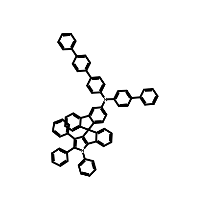 c1ccc(-c2ccc(-c3ccc(N(c4ccc(-c5ccccc5)cc4)c4ccc5c(c4)-c4ccccc4C54c5ccccc5-c5c4c(-c4ccccc4)c(-c4ccccc4)n5-c4ccccc4)cc3)cc2)cc1